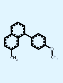 COc1ccc(-c2cccc3ccc(C)cc23)cc1